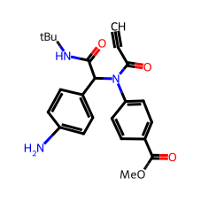 C#CC(=O)N(c1ccc(C(=O)OC)cc1)C(C(=O)NC(C)(C)C)c1ccc(N)cc1